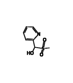 CS(=O)(=O)C(O)c1ccccn1